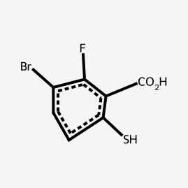 O=C(O)c1c(S)ccc(Br)c1F